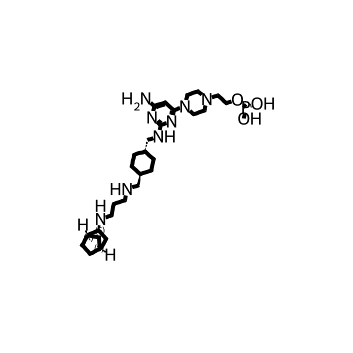 Nc1cc(N2CCN(CCOP(O)O)CC2)nc(NC[C@H]2CC[C@H](CNCCCN[C@H]3C[C@H]4CC[C@@H]3C4)CC2)n1